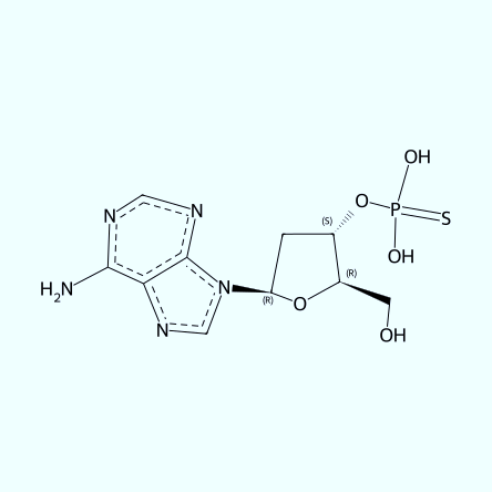 Nc1ncnc2c1ncn2[C@H]1C[C@H](OP(O)(O)=S)[C@@H](CO)O1